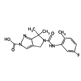 Cc1ccc(F)cc1NC(=O)N1Cc2cn(C(=O)O)nc2C1(C)C